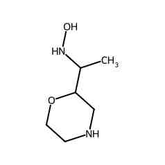 CC(NO)C1CNCCO1